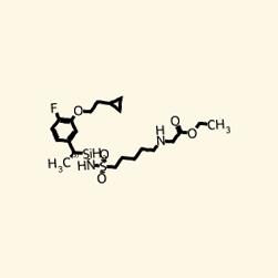 CCOC(=O)CNCCCCCS(=O)(=O)N[SiH2][C@@H](C)c1ccc(F)c(OCCC2CC2)c1